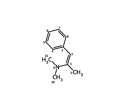 CC(=Cc1ccccc1)N(C)C